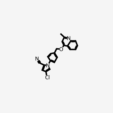 Cc1cc(OCc2ccc(-n3cc(Cl)cc3C#N)cc2)c2ccccc2n1